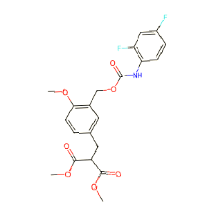 COC(=O)C(Cc1ccc(OC)c(COC(=O)Nc2ccc(F)cc2F)c1)C(=O)OC